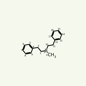 CB(CCc1ccccc1)CCc1ccccc1